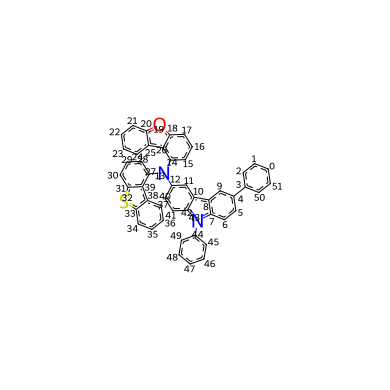 c1ccc(-c2ccc3c(c2)c2cc(N(c4cccc5oc6ccccc6c45)c4cccc5sc6ccccc6c45)ccc2n3-c2ccccc2)cc1